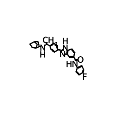 C=C(NC1CC2CCC1C2)c1ccc(-c2nc3cc(C(=O)Nc4ccc(F)cc4)ccc3[nH]2)cc1